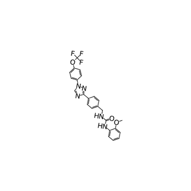 COc1ccccc1NC(=O)NCc1ccc(-c2ncn(-c3ccc(OC(F)(F)F)cc3)n2)cc1